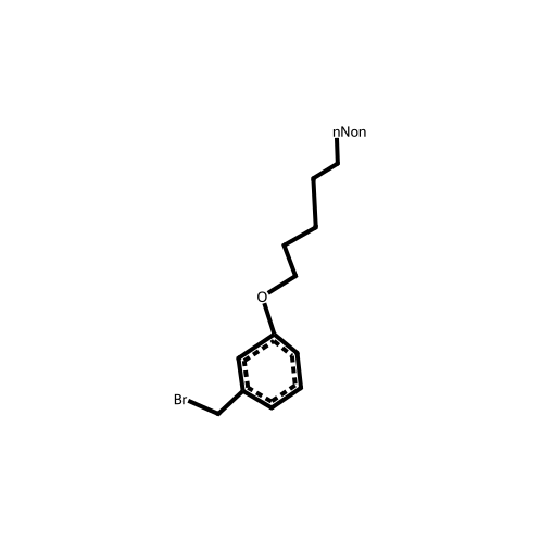 CCCCCCCCCCCCCCOc1cccc(CBr)c1